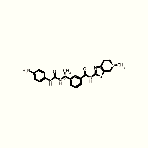 C[C@H](NC(=O)Nc1ccc(N)cc1)c1cccc(C(=O)Nc2nc3c(s2)CN(C)CC3)c1